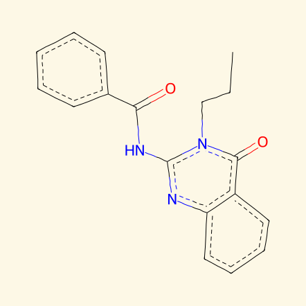 CCCn1c(NC(=O)c2ccccc2)nc2ccccc2c1=O